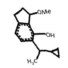 COC1CCc2ccc(C(C)C3CC3)c(O)c21